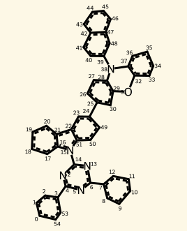 c1ccc(-c2nc(-c3ccccc3)nc(-n3c4ccccc4c4cc(-c5ccc6c(c5)Oc5ccccc5N6c5ccc6ccccc6c5)ccc43)n2)cc1